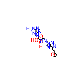 Nc1ncnc2c1ncn2C1OC(CNCn2cnc3c(CCc4ccco4)ncnc32)C(O)C1O